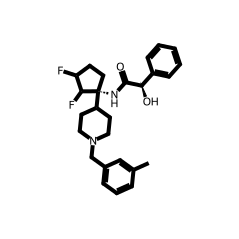 Cc1cccc(CN2CCC([C@]3(NC(=O)[C@H](O)c4ccccc4)CCC(F)C3F)CC2)c1